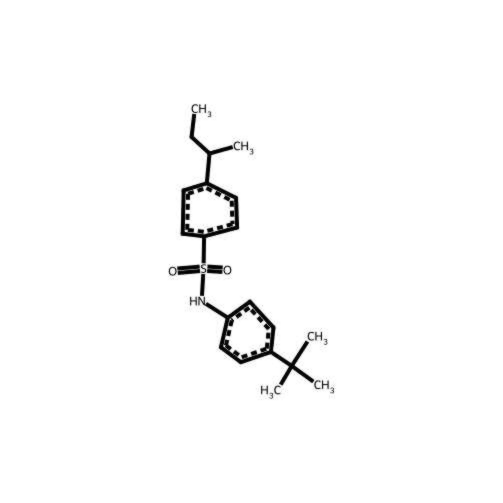 CCC(C)c1ccc(S(=O)(=O)Nc2ccc(C(C)(C)C)cc2)cc1